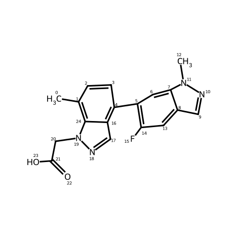 Cc1ccc(-c2cc3c(cnn3C)cc2F)c2cnn(CC(=O)O)c12